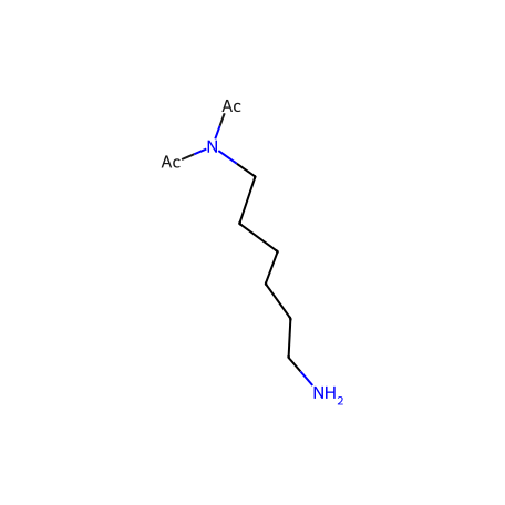 CC(=O)N(CCCCCCN)C(C)=O